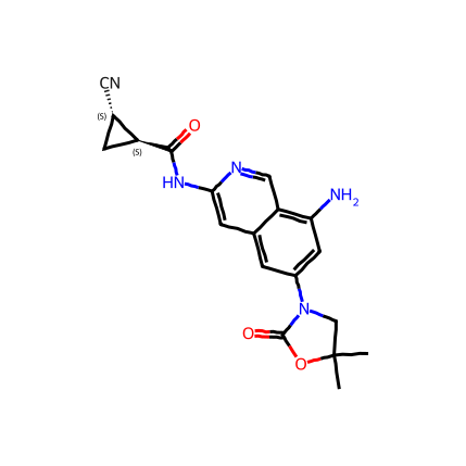 CC1(C)CN(c2cc(N)c3cnc(NC(=O)[C@H]4C[C@@H]4C#N)cc3c2)C(=O)O1